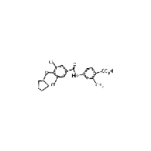 Cc1cc(NC(=O)c2cc(Cl)c(OC3CCCC3)c(Cl)c2)ccc1C(=O)O